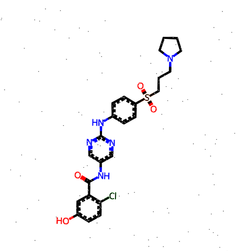 O=C(Nc1cnc(Nc2ccc(S(=O)(=O)CCCN3CCCC3)cc2)nc1)c1cc(O)ccc1Cl